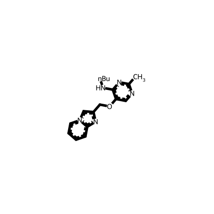 CCCCNc1nc(C)ncc1OCc1cn2ccccc2n1